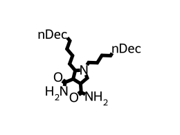 CCCCCCCCCCCCCCC1C(C(N)=O)C(C(N)=O)CN1CCCCCCCCCCCCCC